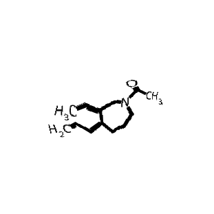 C=C/C=C1/CCCN(C(C)=O)C/C1=C/C